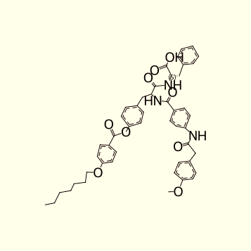 CCCCCCCOc1ccc(C(=O)Oc2ccc(CC(NC(=O)c3ccc(NC(=O)Cc4ccc(OC)cc4)cc3)C(=O)N[C@@H](Cc3ccccc3)C(=O)O)cc2)cc1